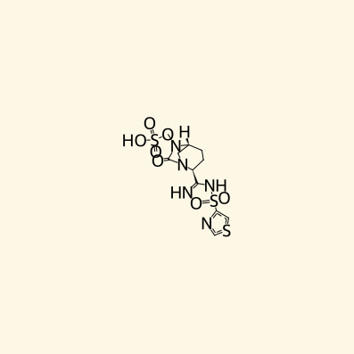 N=C(NS(=O)(=O)c1cscn1)[C@@H]1CC[C@@H]2CN1C(=O)N2OS(=O)(=O)O